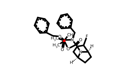 CC(C)(C)OC(=O)N1[C@H]2CC[C@@H]1C(F)C(N(Cc1ccccc1)C(=O)OCc1ccccc1)C2